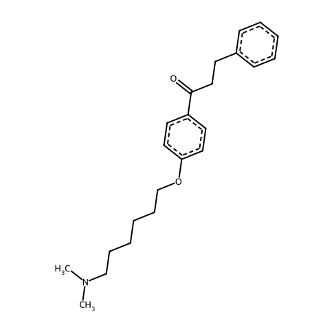 CN(C)CCCCCCOc1ccc(C(=O)CCc2ccccc2)cc1